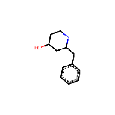 OC1CC[N]C(Cc2ccccc2)C1